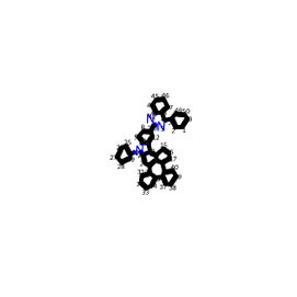 c1ccc(-c2nc(-c3ccc4c(c3)c3c5cccc6c5c(cc3n4-c3ccccc3)-c3ccccc3-c3ccccc3-6)nc3ccccc23)cc1